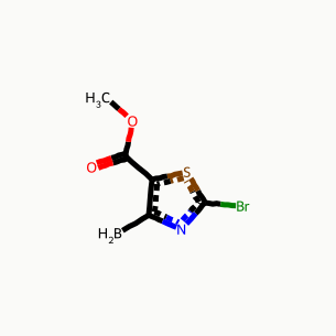 Bc1nc(Br)sc1C(=O)OC